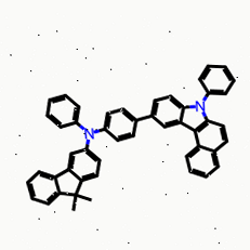 CC1(C)c2ccccc2-c2cc(N(c3ccccc3)c3ccc(-c4ccc5c(c4)c4c6ccccc6ccc4n5-c4ccccc4)cc3)ccc21